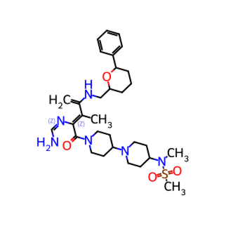 C=C(NCC1CCCC(c2ccccc2)O1)/C(C)=C(\N=C/N)C(=O)N1CCC(N2CCC(N(C)S(C)(=O)=O)CC2)CC1